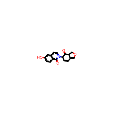 O=C1C2COC=C2C=CC1n1ccc2cc(O)ccc2c1=O